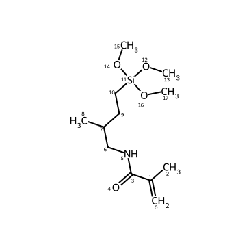 C=C(C)C(=O)NCC(C)CC[Si](OC)(OC)OC